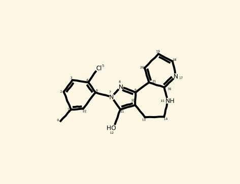 Cc1ccc(Cl)c(-n2nc3c(c2O)CCNc2ncccc2-3)c1